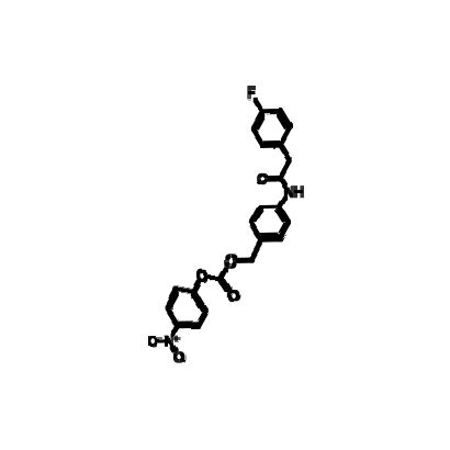 O=C(Cc1ccc(F)cc1)Nc1ccc(COC(=O)Oc2ccc([N+](=O)[O-])cc2)cc1